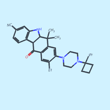 CCc1cc2c(cc1N1CCN(C3(C(C)C)CCC3)CC1)C(C)(C)C1Nc3cc(C#N)ccc3C1C2=O